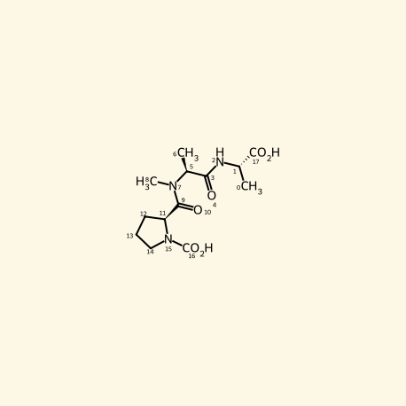 C[C@H](NC(=O)[C@H](C)N(C)C(=O)[C@@H]1CCCN1C(=O)O)C(=O)O